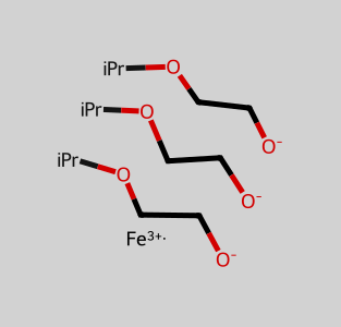 CC(C)OCC[O-].CC(C)OCC[O-].CC(C)OCC[O-].[Fe+3]